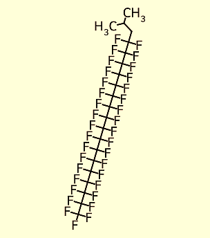 CC(C)CC(F)(F)C(F)(F)C(F)(F)C(F)(F)C(F)(F)C(F)(F)C(F)(F)C(F)(F)C(F)(F)C(F)(F)C(F)(F)C(F)(F)C(F)(F)C(F)(F)C(F)(F)C(F)(F)C(F)(F)F